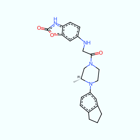 C[C@@H]1CN(C(=O)CNc2ccc3[nH]c(=O)oc3c2)CCN1c1ccc2c(c1)CCC2